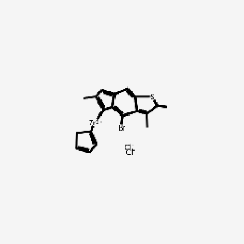 CC1=[C]([Zr+2][C]2=CC=CC2)c2c(Br)c3c(cc2=C1)SC(C)C=3C.[Cl-].[Cl-]